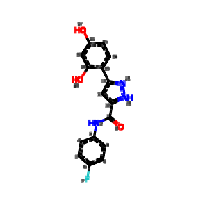 O=C(Nc1ccc(F)cc1)c1cc(-c2ccc(O)cc2O)n[nH]1